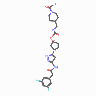 CC(=O)N1CCC(CNC(=O)O[C@H]2CC[C@@H](c3cc(NC(=O)Cc4cc(F)cc(F)c4)n[nH]3)C2)CC1